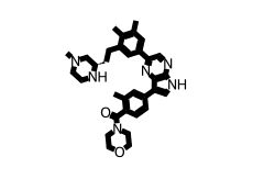 Cc1cc(-c2c[nH]c3ncc(-c4cc(C)c(C)c(CC[C@H]5CN(C)CCN5)c4)nc23)ccc1C(=O)N1CCOCC1